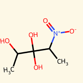 CC(O)C(O)(O)C(C)[N+](=O)[O-]